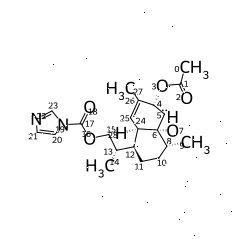 CC(=O)O[C@@H]1[C][C@@]2(O)[C@H](C)CC[C@@H]([C@H](C)COC(=O)n3ccnc3)[C@H]2C=C1C